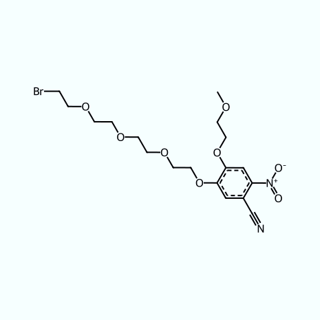 COCCOc1cc([N+](=O)[O-])c(C#N)cc1OCCOCCOCCOCCBr